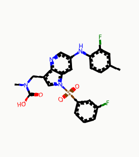 Cc1ccc(Nc2cnc3c(CN(C)C(=O)O)cn(S(=O)(=O)c4cccc(F)c4)c3c2)c(F)c1